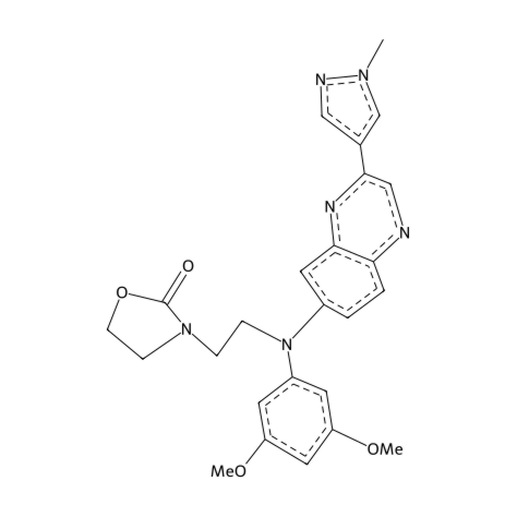 COc1cc(OC)cc(N(CCN2CCOC2=O)c2ccc3ncc(-c4cnn(C)c4)nc3c2)c1